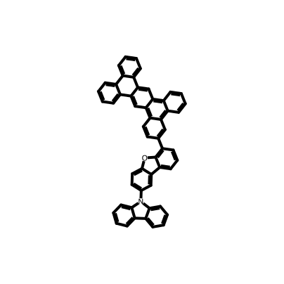 c1cc(-c2ccc3c(c2)c2ccccc2c2cc4c5ccccc5c5ccccc5c4cc32)c2oc3ccc(-n4c5ccccc5c5ccccc54)cc3c2c1